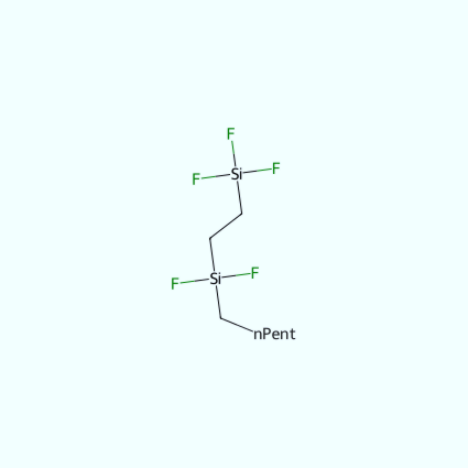 CCCCCC[Si](F)(F)CC[Si](F)(F)F